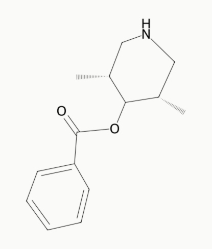 C[C@@H]1CNC[C@H](C)C1OC(=O)c1ccccc1